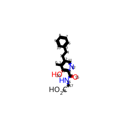 Cc1c(CCc2ccccc2)cnc(C(=O)NCC(=O)O)c1O